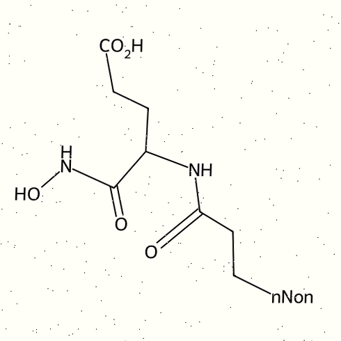 CCCCCCCCCCCC(=O)NC(CCC(=O)O)C(=O)NO